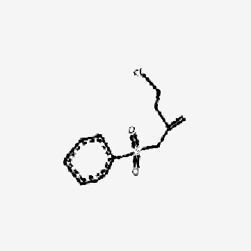 C=C(CCCl)CS(=O)(=O)c1ccccc1